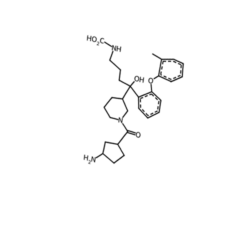 Cc1ccccc1Oc1ccccc1C(O)(CCCNC(=O)O)C1CCCN(C(=O)C2CCC(N)C2)C1